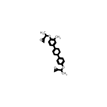 Cc1cc(C2=CCC(c3ccc(OC(C)C4CO4)cc3)CC2)ccc1OC(C)C1CO1